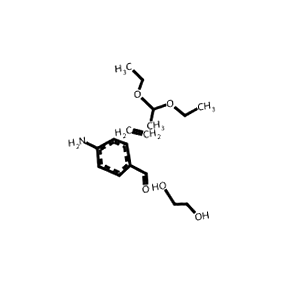 C=C.CCOC(C)OCC.Nc1ccc(C=O)cc1.OCCO